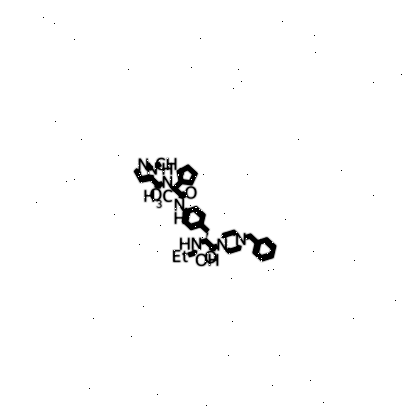 CCC(O)N[C@H](Cc1ccc(NC(=O)[C@](C)(NC(=O)c2ccnn2C)C2CCCC2)cc1)C(=O)N1CCN(Cc2ccccc2)CC1